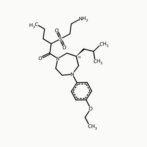 CCCC(C(=O)N1CCN(c2ccc(OCC)cc2)C[C@H](CC(C)C)C1)S(=O)(=O)CCN